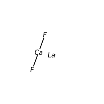 [F][Ca][F].[La]